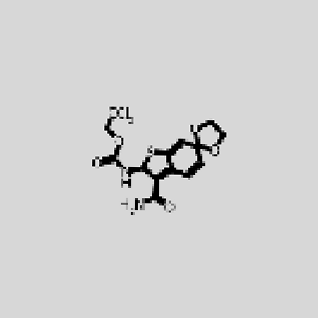 NC(=O)C1=C2C=CC3(C=C2SC1NC(=O)OCC(Cl)(Cl)Cl)OCCO3